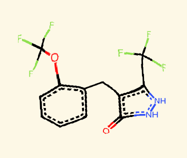 O=c1[nH][nH]c(C(F)(F)F)c1Cc1ccccc1OC(F)(F)F